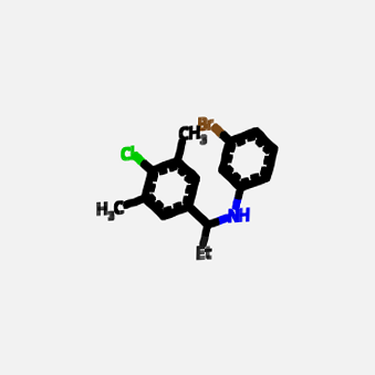 CCC(Nc1cccc(Br)c1)c1cc(C)c(Cl)c(C)c1